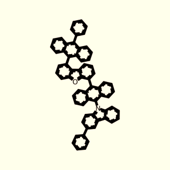 c1ccc(-c2ccc3c(c2)c2ccccc2n3-c2c3ccccc3c(-c3cccc4c3oc3cccc(-c5c6ccccc6c(-c6ccccc6)c6ccccc56)c34)c3ccccc23)cc1